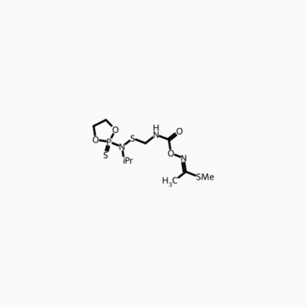 CSC(C)=NOC(=O)NCSN(C(C)C)P1(=S)OCCO1